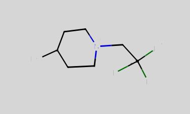 CC1CCN(CC(F)(F)F)CC1